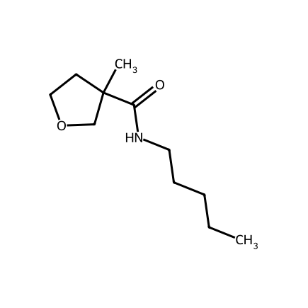 CCCCCNC(=O)C1(C)CCOC1